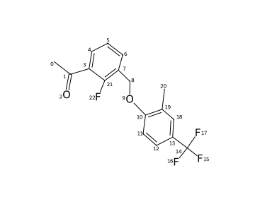 CC(=O)c1cccc(COc2ccc(C(F)(F)F)cc2C)c1F